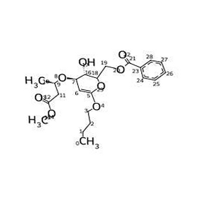 CCCCOC1=C[C@@H](O[C@H](C)CC(=O)OC)[C@H](O)C(COC(=O)c2ccccc2)O1